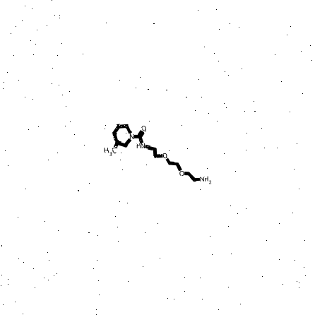 CC1CCCN(C(=O)NCCOCCOCCN)C1